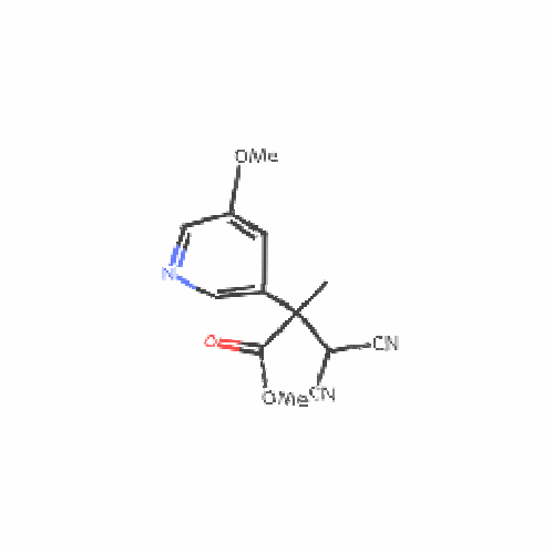 COC(=O)C(C)(c1cncc(OC)c1)C(C#N)C#N